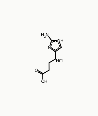 Cl.Nc1nc(CCCC(=O)O)c[nH]1